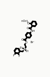 CCCCCCCCOc1ccccc1C(=O)Nc1ccc(C(=O)OCC[N+](CC)(CC)Cc2cccc(F)c2F)cc1.[Br-]